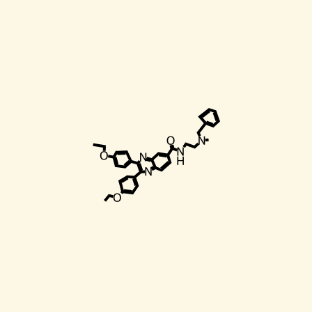 CCOc1ccc(-c2nc3ccc(C(=O)NCCN(C)Cc4ccccc4)cc3nc2-c2ccc(OCC)cc2)cc1